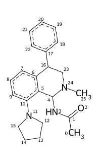 CC(=O)NC1c2c(cccc2N2CCCC2)C(c2ccccc2)CN1C